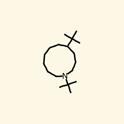 CC(C)(C)C1CCCCCCN(C(C)(C)C)CCC1